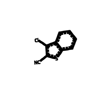 N#Cc1sc2ccccc2c1Cl